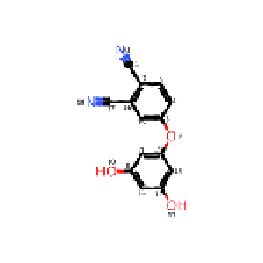 N#Cc1ccc(Oc2cc(O)cc(O)c2)cc1C#N